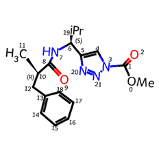 COC(=O)n1cc([C@@H](NC(=O)[C@H](C)Cc2ccccc2)C(C)C)nn1